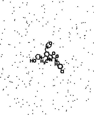 Cn1nc(C(=O)NCc2ccc(Cl)cc2)c(=O)c2cc(CN3CCOCC3)cc(CN3CCCC(O)C3)c21